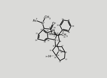 CC(=O)N(C)CC(=O)NC(CCN1C2CC[C@H]1CC(n1c(C)nc3ccccc31)C2)c1ccccc1